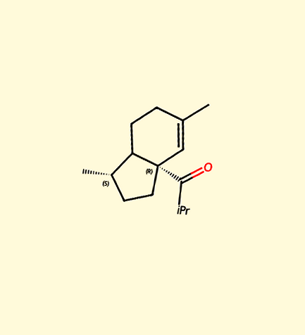 CC1=C[C@@]2(C(=O)C(C)C)CC[C@H](C)C2CC1